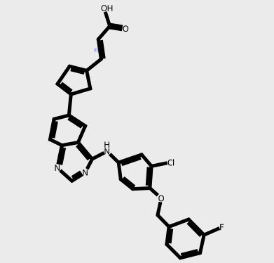 O=C(O)/C=C/C1=CC=C(c2ccc3ncnc(Nc4ccc(OCc5cccc(F)c5)c(Cl)c4)c3c2)C1